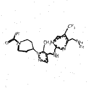 CCNc1nc(Nc2cnn(C3CCN(C(=O)C(C)C)CC3)c2C)ncc1C(F)(F)F